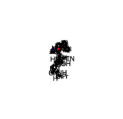 CC(C)C(=O)Nc1nc2c(ncn2C2CC(NP(=S)(OCCC#N)OCC3OC(/N=C\N(C)C)CC3NC(c3ccccc3)(c3ccccc3)c3ccccc3)C(CO)O2)c(=O)[nH]1